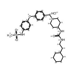 CS(=O)(=O)Nc1ccc(Oc2ccc(CN3CCC(NC(=O)NCCC4CCCCC4)CC3)cc2)cc1.Cl